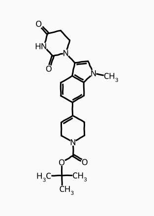 Cn1cc(N2CCC(=O)NC2=O)c2ccc(C3=CCN(C(=O)OC(C)(C)C)CC3)cc21